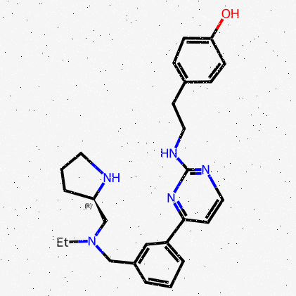 CCN(Cc1cccc(-c2ccnc(NCCc3ccc(O)cc3)n2)c1)C[C@H]1CCCN1